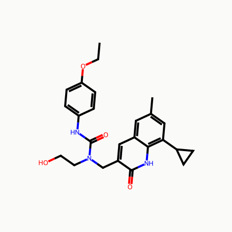 CCOc1ccc(NC(=O)N(CCO)Cc2cc3cc(C)cc(C4CC4)c3[nH]c2=O)cc1